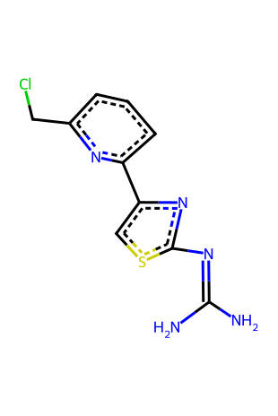 NC(N)=Nc1nc(-c2cccc(CCl)n2)cs1